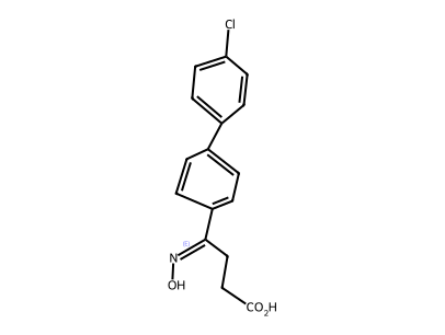 O=C(O)CC/C(=N\O)c1ccc(-c2ccc(Cl)cc2)cc1